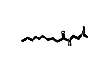 CCCCCCCCCC(=O)NCCN(C)C